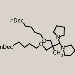 CCCCCCCCCCCCCCOCC(C)(COCCCCCCCCCCCCCC)C(N1CCCC1)N1CCCC1